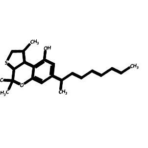 CCCCCCCC(C)c1cc(O)c2c(c1)OC(C)(C)C1SCC(C)C21